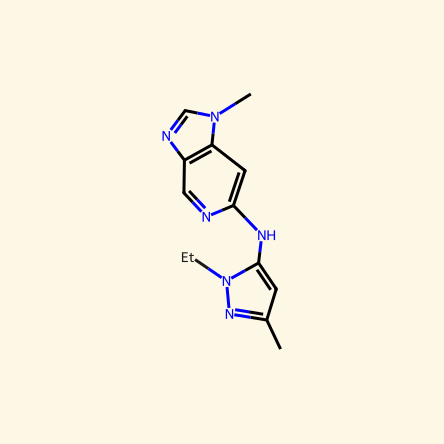 CCn1nc(C)cc1Nc1cc2c(cn1)ncn2C